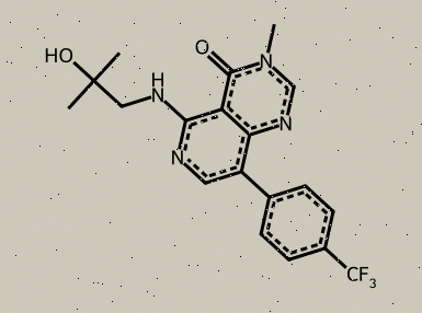 Cn1cnc2c(-c3ccc(C(F)(F)F)cc3)cnc(NCC(C)(C)O)c2c1=O